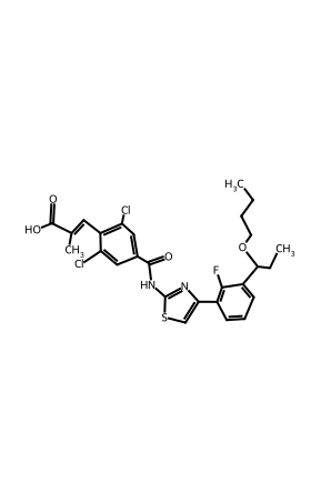 CCCCOC(CC)c1cccc(-c2csc(NC(=O)c3cc(Cl)c(C=C(C)C(=O)O)c(Cl)c3)n2)c1F